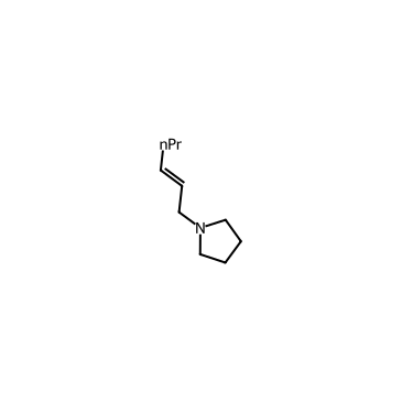 [CH2]CCC=CCN1CCCC1